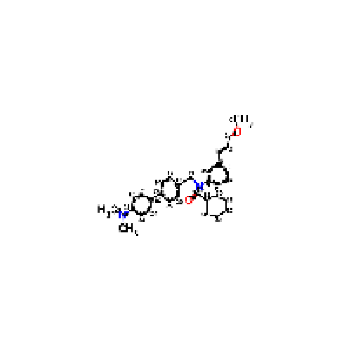 COCC=Cc1cccc(N(Cc2ccc(-c3ccc(N(C)C)cc3)cc2)C(=O)C2CCCCC2)c1